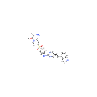 CC(N)C(=O)N1CCC(S(=O)(=O)c2ccc(Nc3ncc(C=Cc4cccc5[nH]ccc45)cn3)cc2)CC1